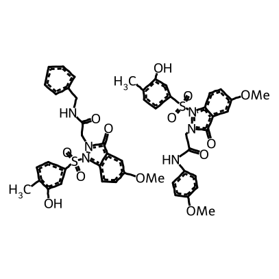 COc1ccc(NC(=O)Cn2c(=O)c3cc(OC)ccc3n2S(=O)(=O)c2ccc(C)c(O)c2)cc1.COc1ccc2c(c1)c(=O)n(CC(=O)NCc1ccccc1)n2S(=O)(=O)c1ccc(C)c(O)c1